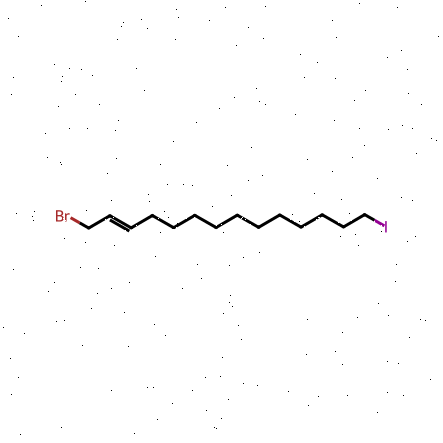 BrCC=CCCCCCCCCCCCI